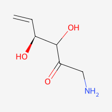 C=C[C@H](O)C(O)C(=O)CN